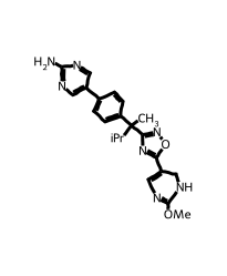 COC1=NC=C(c2nc(C(C)(c3ccc(-c4cnc(N)nc4)cc3)C(C)C)no2)CN1